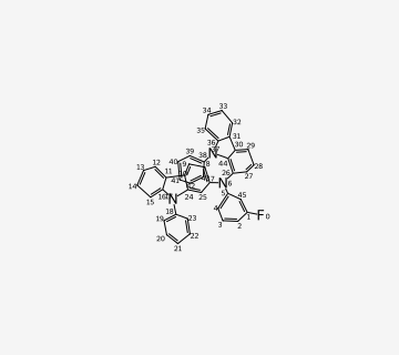 Fc1cccc(N(c2ccc3c4ccccc4n(-c4ccccc4)c3c2)c2cccc3c4ccccc4n(-c4ccccc4)c23)c1